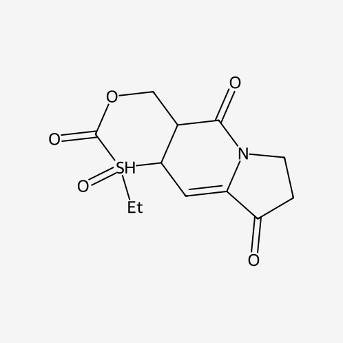 CC[SH]1(=O)C(=O)OCC2C(=O)N3CCC(=O)C3=CC21